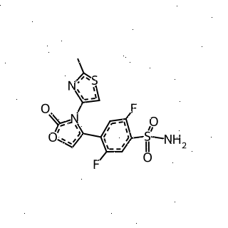 Cc1nc(-n2c(-c3cc(F)c(S(N)(=O)=O)cc3F)coc2=O)cs1